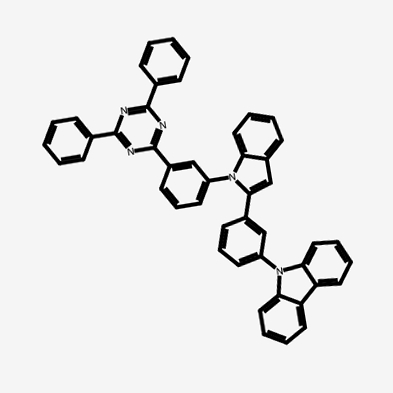 c1ccc(-c2nc(-c3ccccc3)nc(-c3cccc(-n4c(-c5cccc(-n6c7ccccc7c7ccccc76)c5)cc5ccccc54)c3)n2)cc1